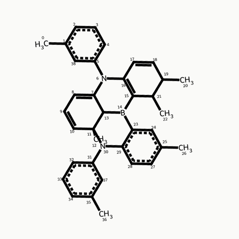 Cc1cccc(N2C3=CC=CC4(C)C3B(C3=C2C=CC(C)C3C)c2cc(C)ccc2N4c2cccc(C)c2)c1